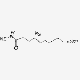 CCCCCCCCCCCCCCCCCC(=O)NC#N.[Pb]